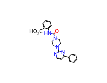 O=C(O)c1ccccc1NC(=O)N1CCN(c2nccc(-c3ccccc3)n2)CC1